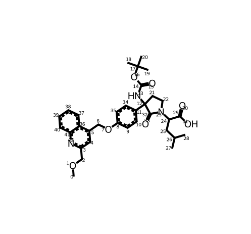 COCc1cc(COc2ccc(C3(NC(=O)OC(C)(C)C)CCN(C(CC(C)C)C(=O)O)C3=O)cc2)c2ccccc2n1